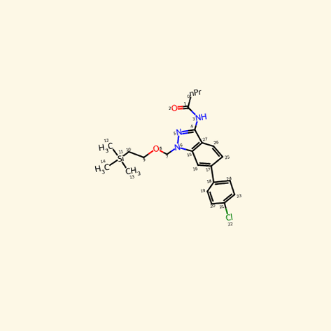 CCCC(=O)Nc1nn(COCC[Si](C)(C)C)c2cc(-c3ccc(Cl)cc3)ccc12